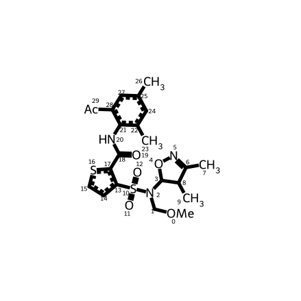 COCN(C1ON=C(C)C1C)S(=O)(=O)c1ccsc1C(=O)Nc1c(C)cc(C)cc1C(C)=O